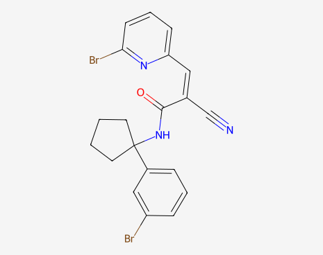 N#CC(=Cc1cccc(Br)n1)C(=O)NC1(c2cccc(Br)c2)CCCC1